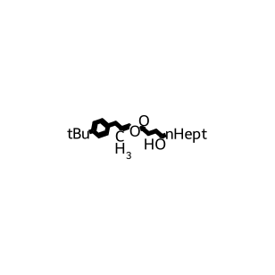 CCCCCCCC(O)CCC(=O)O/C=C(\C)Cc1ccc(C(C)(C)C)cc1